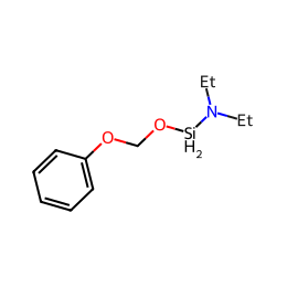 CCN(CC)[SiH2]OCOc1ccccc1